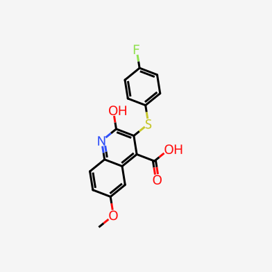 COc1ccc2nc(O)c(Sc3ccc(F)cc3)c(C(=O)O)c2c1